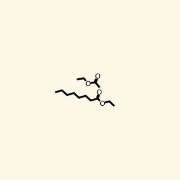 CCCCCCCC(=O)OCC.CCOC(C)=O